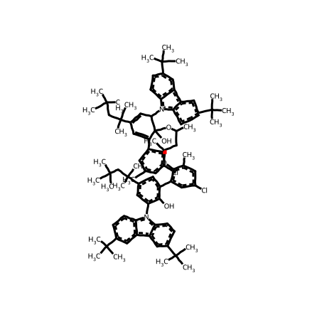 Cc1cc(Cl)cc(C2=CC(C(C)(C)CC(C)(C)C)=CC(n3c4ccc(C(C)(C)C)cc4c4cc(C(C)(C)C)ccc43)C2(O)OC(C)CC(C)Oc2c(C)cc(Cl)cc2-c2cc(C(C)(C)CC(C)(C)C)cc(-n3c4ccc(C(C)(C)C)cc4c4cc(C(C)(C)C)ccc43)c2O)c1